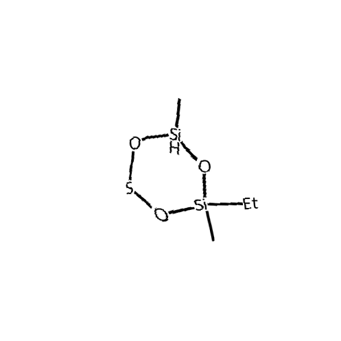 CC[Si]1(C)OSO[SiH](C)O1